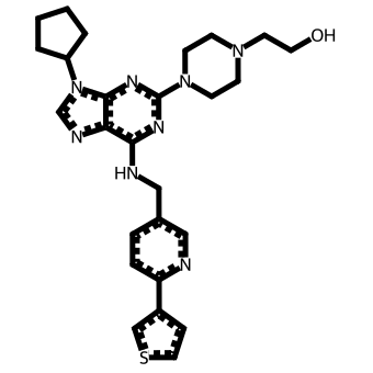 OCCN1CCN(c2nc(NCc3ccc(-c4ccsc4)nc3)c3ncn(C4CCCC4)c3n2)CC1